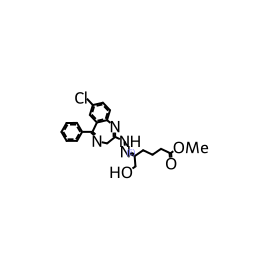 COC(=O)CCC/C(CO)=N\NC1=Nc2ccc(Cl)cc2C(c2ccccc2)=NC1